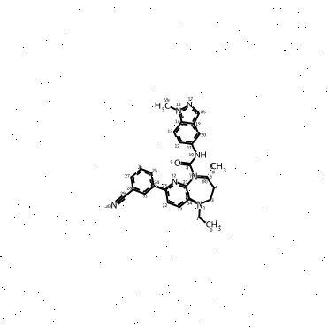 CCN1CC[C@@H](C)N(C(=O)Nc2ccc3c(cnn3C)c2)c2nc(-c3cccc(C#N)c3)ccc21